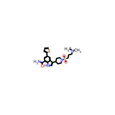 CN(C)CCCS(=O)(=O)N1CCC(c2c[nH]c3c(C(N)=O)cc(-c4cccs4)cc23)CC1